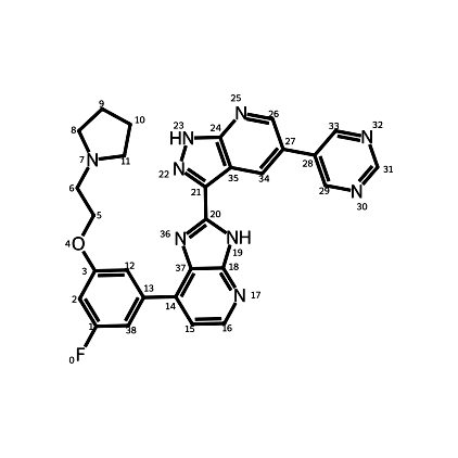 Fc1cc(OCCN2CCCC2)cc(-c2ccnc3[nH]c(-c4n[nH]c5ncc(-c6cncnc6)cc45)nc23)c1